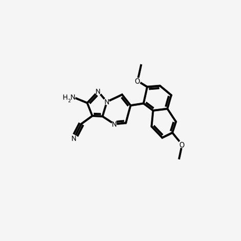 COc1ccc2c(-c3cnc4c(C#N)c(N)nn4c3)c(OC)ccc2c1